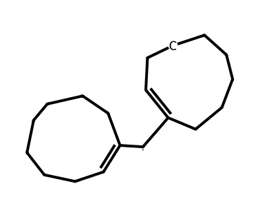 [CH](C1=CCCCCCCC1)C1=CCCCCCCC1